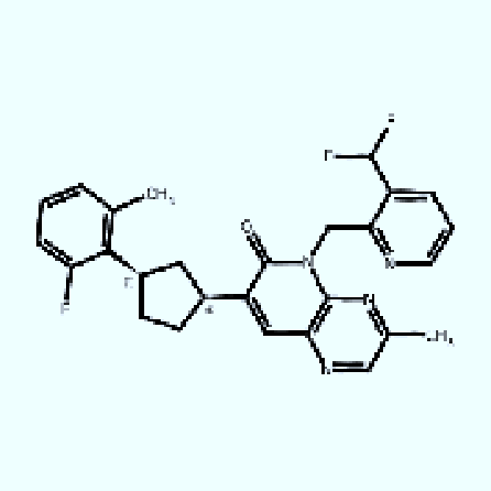 Cc1cnc2cc([C@H]3CC[C@@H](c4c(C)cccc4F)C3)c(=O)n(Cc3ncccc3C(F)F)c2n1